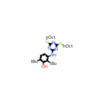 CCCCCCCCSc1nc(Nc2ccc(C(C)(C)C)c(O)c2C(C)(C)C)nc(SCCCCCCCC)n1